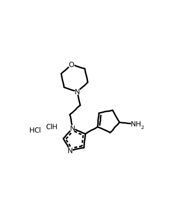 Cl.Cl.NC1CC=C(c2cncn2CCN2CCOCC2)C1